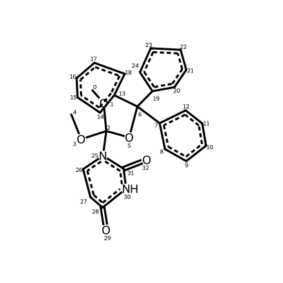 COC(OC)(OC(c1ccccc1)(c1ccccc1)c1ccccc1)n1ccc(=O)[nH]c1=O